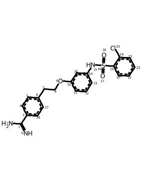 N=C(N)c1ccc(CCOc2cccc(NS(=O)(=O)c3ccccc3Cl)c2)cc1